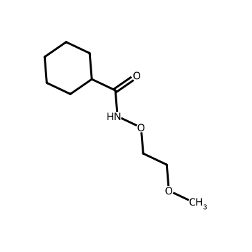 COCCONC(=O)C1CCCCC1